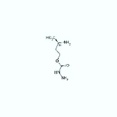 NNC(=O)OCC[C@H](N)C(=O)O